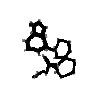 O=C(CO)N1CCCC12CCCN(c1ncnc3[nH]ccc13)C2